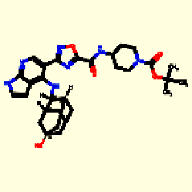 CC(C)(C)OC(=O)N1CCC(NC(=O)c2nc(-c3cnc4[nH]ccc4c3N[C@H]3[C@@H]4CC5C[C@H]3C[C@@](O)(C5)C4)no2)CC1